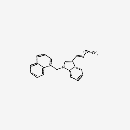 CN/N=C/c1cn(Cc2cccc3ccccc23)c2ccccc12